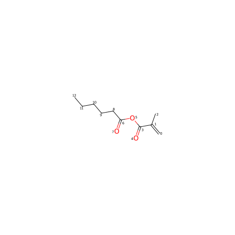 C=C(C)C(=O)OC(=O)CCCCC